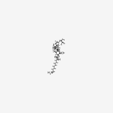 CC[C@H](CC[C@@H](C)[C@H]1CC[C@H]2[C@@H]3CC=C4C[C@@H](OC(=O)NCCCCCCCCN)CC[C@]4(C)[C@H]3CC[C@]12C)C(C)C.Cl